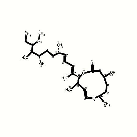 CCC(OC)C(C)[C@@H](O)CC[C@H](C)/C=C/C=C(\C)[C@H]1OC(=O)CC(O)CCC(C)C/C=C/C1C